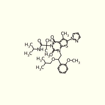 COc1ccccc1C(Cn1c(=O)n(C(C)(C)C(=O)NC(C)C)c(=O)c2c(C)c(-n3cccn3)sc21)OCC(C)C